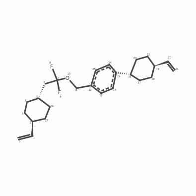 C=C[C@H]1CC[C@H](CC(F)(F)OCc2ccc([C@H]3CC[C@H](C=C)CC3)cc2)CC1